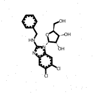 OC[C@@H]1O[C@@H](n2c(NCc3ccccc3)nc3cc(Cl)c(Cl)cc32)[C@@H](O)[C@H]1O